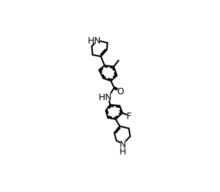 Cc1cc(C(=O)Nc2ccc(C3=CCNCC3)c(F)c2)ccc1C1=CCNCC1